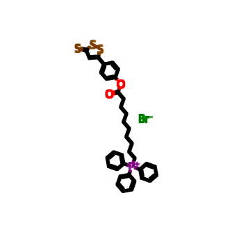 O=C(CCCCCCCCC[P+](c1ccccc1)(c1ccccc1)c1ccccc1)Oc1ccc(-c2cc(=S)ss2)cc1.[Br-]